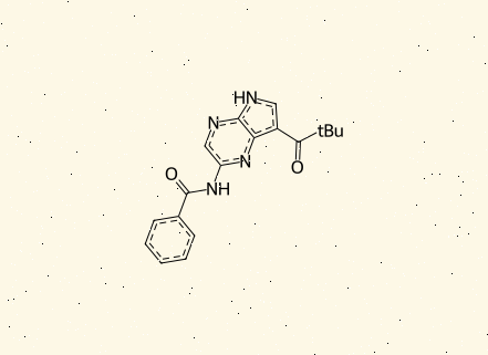 CC(C)(C)C(=O)c1c[nH]c2ncc(NC(=O)c3ccccc3)nc12